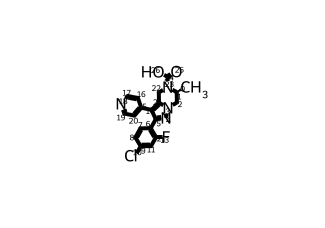 C[C@H]1Cn2nc(-c3ccc(Cl)cc3F)c(-c3ccncc3)c2CN1C(=O)O